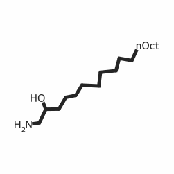 CCCCCCCCCCCCCCCCCC(O)CN